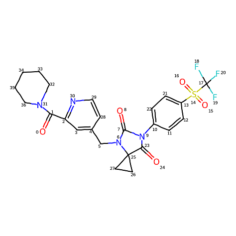 O=C(c1cc(CN2C(=O)N(c3ccc(S(=O)(=O)C(F)(F)F)cc3)C(=O)C23CC3)ccn1)N1CCCCC1